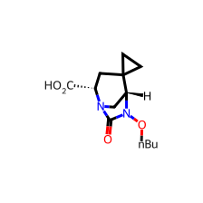 CCCCON1C(=O)N2C[C@@H]1C1(CC1)C[C@H]2C(=O)O